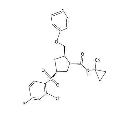 N#CC1(NC(=O)[C@@H]2C[C@@H](S(=O)(=O)c3ccc(F)cc3Cl)C[C@H]2COc2ccncc2)CC1